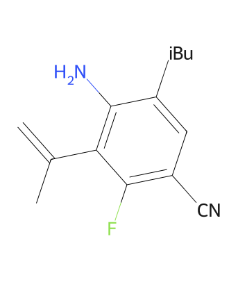 C=C(C)c1c(N)c(C(C)CC)cc(C#N)c1F